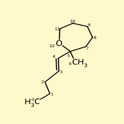 CCCC=CC1(C)CCCCCO1